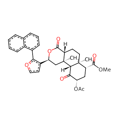 COC(=O)[C@@H]1C[C@H](OC(C)=O)C(=O)[C@H]2[C@@]1(C)CC[C@H]1C(=O)O[C@H](c3ccoc3-c3cccc4ccccc34)C[C@]21C